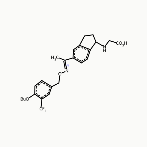 C/C(=N\OCc1ccc(OCC(C)C)c(C(F)(F)F)c1)c1ccc2c(c1)CCC2NCC(=O)O